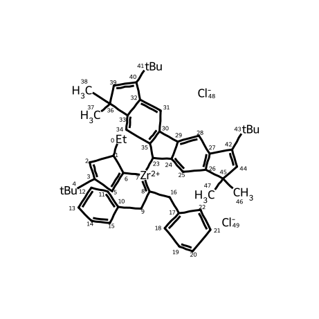 CCC1C=C(C(C)(C)C)C=[C]1[Zr+2](=[C](Cc1ccccc1)Cc1ccccc1)[CH]1c2cc3c(cc2-c2cc4c(cc21)C(C)(C)C=C4C(C)(C)C)C(C(C)(C)C)=CC3(C)C.[Cl-].[Cl-]